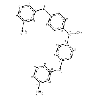 Nc1cccc(Oc2ccc([S+]([O-])c3ccc(Oc4cccc(N)c4)cc3)cc2)c1